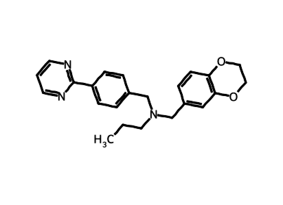 CCCN(Cc1ccc(-c2ncccn2)cc1)Cc1ccc2c(c1)OCCO2